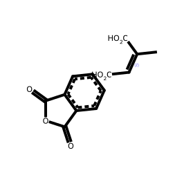 C/C(=C/C(=O)O)C(=O)O.O=C1OC(=O)c2ccccc21